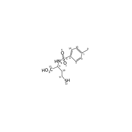 Cc1ccc(S(=O)(=O)NC(CCS)C(=O)O)cc1